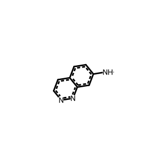 [NH]c1ccc2ccnnc2c1